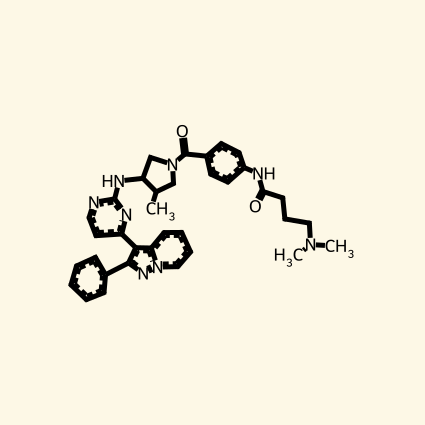 CC1CN(C(=O)c2ccc(NC(=O)CCCN(C)C)cc2)CC1Nc1nccc(-c2c(-c3ccccc3)nn3ccccc23)n1